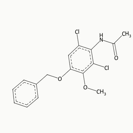 COc1c(OCc2ccccc2)cc(Cl)c(NC(C)=O)c1Cl